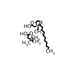 CCCCCCCCCCC1=NCC[N+]1(CC)CC(=O)O.C[N+](C)(C)CC(=O)O